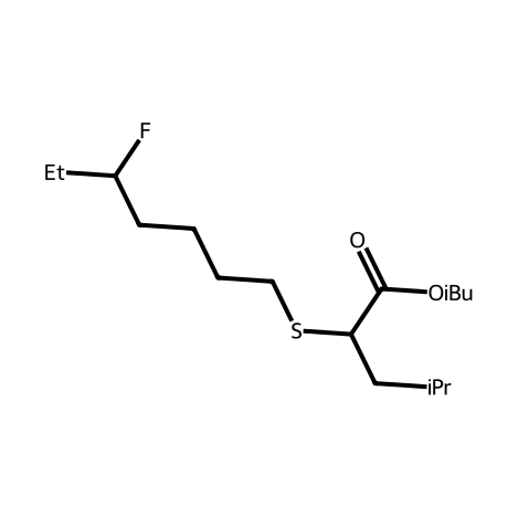 CCC(F)CCCCSC(CC(C)C)C(=O)OCC(C)C